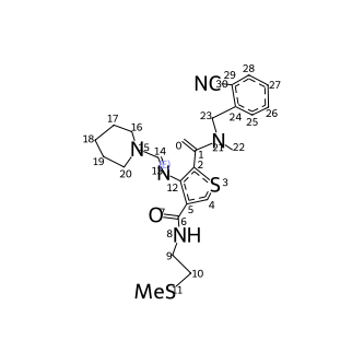 C=C(c1scc(C(=O)NCCSC)c1/N=C/N1CCCCC1)N(C)Cc1ccccc1C#N